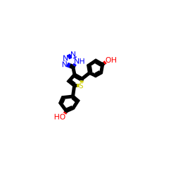 Oc1ccc(-c2cc(-c3nnn[nH]3)c(-c3ccc(O)cc3)s2)cc1